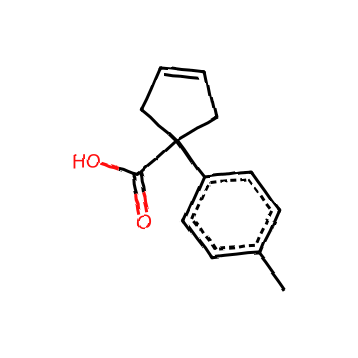 Cc1ccc(C2(C(=O)O)CC=CC2)cc1